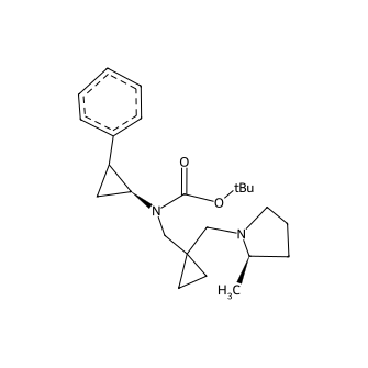 C[C@@H]1CCCN1CC1(CN(C(=O)OC(C)(C)C)[C@H]2CC2c2ccccc2)CC1